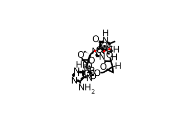 Cc1nc2c(ncn2[C@@H]2OC34COP(=O)(O)O[C@H]5[C@H]6OC[C@]5(CO[P@](=O)(S)O[C@@H]2[C@@H]3C4)O[C@H]6n2cnc3c(N)ncnc32)c(=O)[nH]1